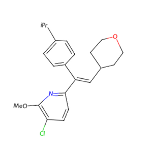 COc1nc(C(=CC2CCOCC2)c2ccc(C(C)C)cc2)ccc1Cl